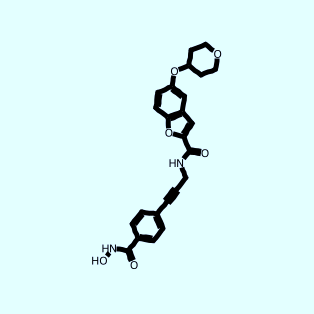 O=C(NO)c1ccc(C#CCNC(=O)c2cc3cc(OC4CCOCC4)ccc3o2)cc1